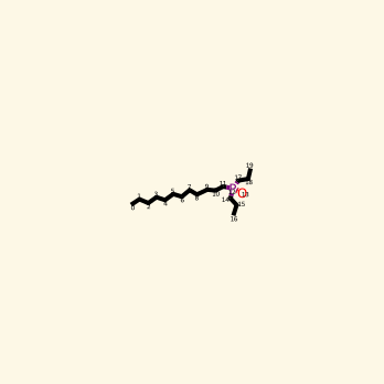 CCCCCCCCCCCCP(=O)(CCC)CCC